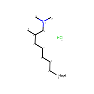 CCCCCCCCCCCCC(C)CN(C)C.Cl